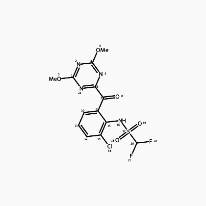 COc1nc(OC)nc(C(=O)c2cccc(Cl)c2NS(=O)(=O)C(F)F)n1